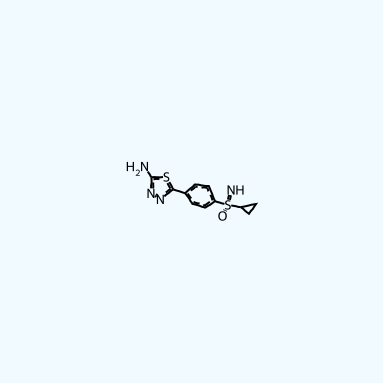 N=S(=O)(c1ccc(-c2nnc(N)s2)cc1)C1CC1